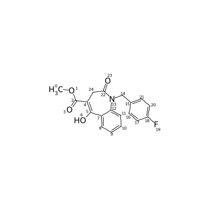 COC(=O)C1=C(O)c2ccccc2N(Cc2ccc(F)cc2)C(=O)C1